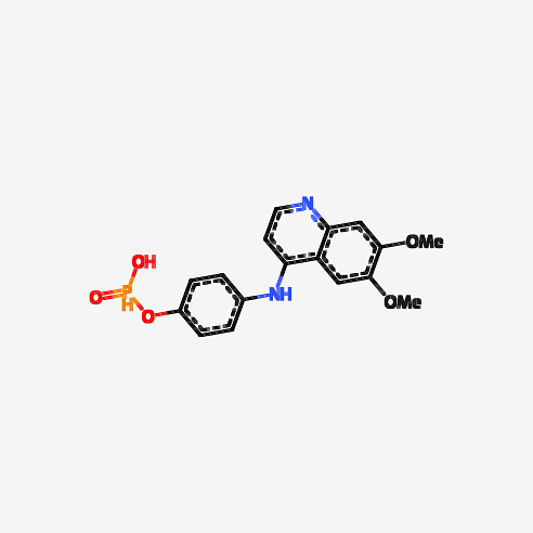 COc1cc2nccc(Nc3ccc(O[PH](=O)O)cc3)c2cc1OC